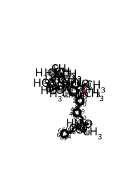 CCn1c(-c2cccnc2[C@H](C)OC)c(CC(C)(C)n2cc(C3C(C(C)(C)C)C(C(C)(C)C)CN(C(=O)O)N3C(=O)O)nn2)c2cc(-c3cccc(CC(NC(=O)OCc4ccccc4)C(=O)OC)c3)ccc21